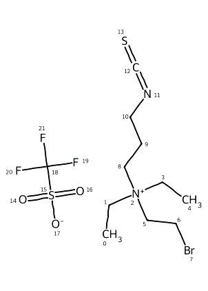 CC[N+](CC)(CCBr)CCCN=C=S.O=S(=O)([O-])C(F)(F)F